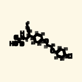 CC#CC(CNS(=O)(=O)O)c1ccc(OCCOc2ccc(Cl)cc2)cc1